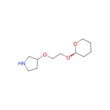 C1CC[C@@H](OCCOC2CCNC2)OC1